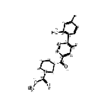 Cc1ccc(-c2nnc(C(=O)[C@H]3CCCN(C(=O)OC(C)(C)C)C3)cc2C)c(O)c1